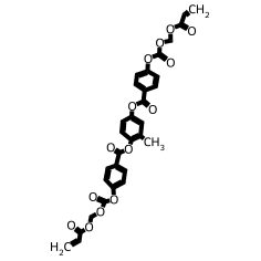 C=CC(=O)OCOC(=O)Oc1ccc(C(=O)Oc2ccc(OC(=O)c3ccc(OC(=O)OCOC(=O)C=C)cc3)c(C)c2)cc1